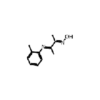 CC(=N\O)/C(C)=N/c1ccccc1C